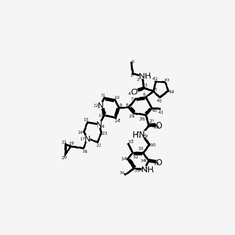 CCNC(=O)C1(c2cc(-c3ccnc(N4CCN(CC5CC5)CC4)c3)cc(C(=O)NCc3c(C)cc(C)[nH]c3=O)c2C)CCCC1